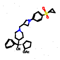 CC(=O)O[C@@H]1CCC[C@H]1C(C#N)(c1ccccc1)C1CCN(CC2CN(c3ccc(S(=O)(=O)C4CC4)cc3)C2)CC1